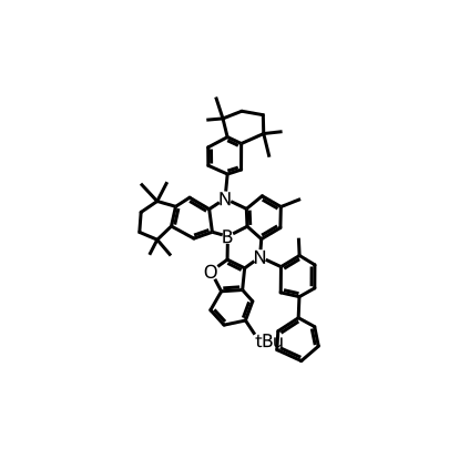 Cc1cc2c3c(c1)N(c1cc(-c4ccccc4)ccc1C)c1c(oc4ccc(C(C)(C)C)cc14)B3c1cc3c(cc1N2c1ccc2c(c1)C(C)(C)CCC2(C)C)C(C)(C)CCC3(C)C